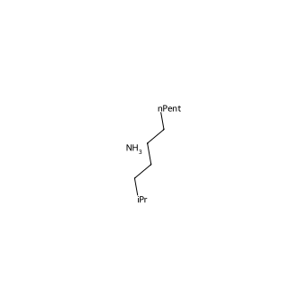 CCCCCCCCCC(C)C.N